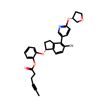 CC#CCCC(=O)Oc1ccccc1O[C@@H]1CCc2c1ccc(C#N)c2-c1ccc(O[C@@H]2CCOC2)nc1